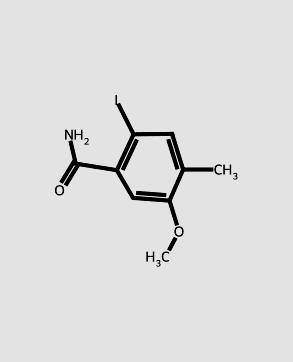 COc1cc(C(N)=O)c(I)cc1C